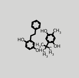 Cc1cc(O)c(C(C)(C)C)cc1O.Oc1ccc(O)c(CCc2ccccc2)c1